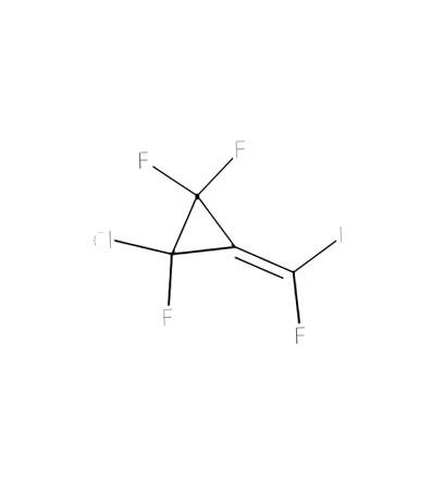 FC(F)=C1C(F)(F)C1(F)Cl